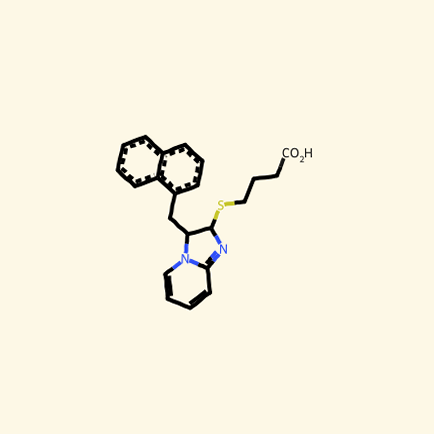 O=C(O)CCCSC1N=C2C=CC=CN2C1Cc1cccc2ccccc12